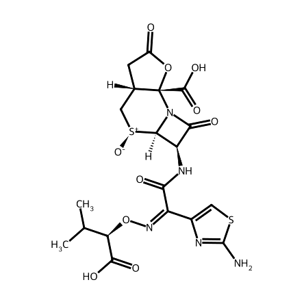 CC(C)[C@@H](O/N=C(\C(=O)N[C@@H]1C(=O)N2[C@@H]1[S@@+]([O-])C[C@@H]1CC(=O)O[C@@]12C(=O)O)c1csc(N)n1)C(=O)O